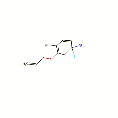 C=CCOC1=C(C#N)C=CC(N)(F)C1